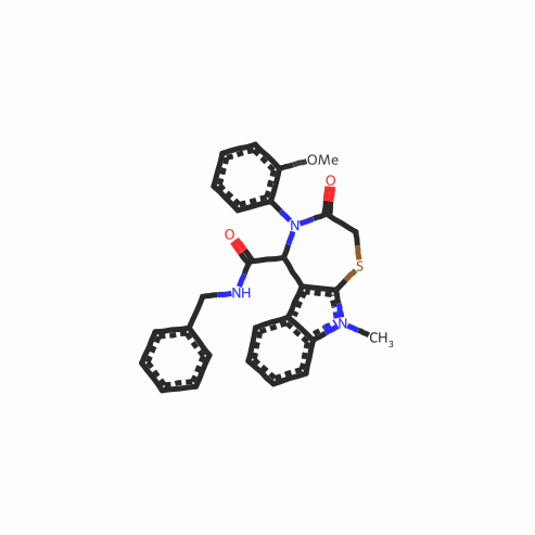 COc1ccccc1N1C(=O)CSc2c(c3ccccc3n2C)C1C(=O)NCc1ccccc1